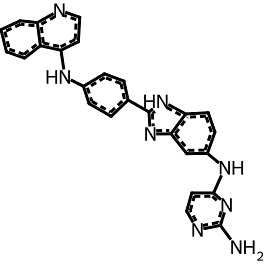 Nc1nccc(Nc2ccc3[nH]c(-c4ccc(Nc5ccnc6ccccc56)cc4)nc3c2)n1